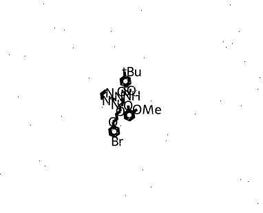 COc1ccccc1Oc1c(NS(=O)(=O)c2ccc(C(C)(C)C)cc2)nc(-c2ncccn2)nc1OCCOc1ccc(Br)cc1